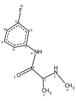 CNC(C)C(=O)Nc1cccc(F)c1